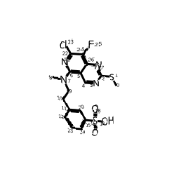 CSc1ncc2c(N(C)CCc3cccc(S(=O)(=O)O)c3)nc(Cl)c(F)c2n1